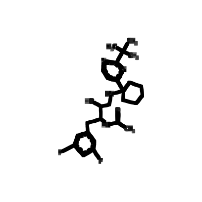 CC(=O)NC(Cc1cc(F)cc(F)c1)C(O)CNC1(c2ccnc(C(C)(C)C)n2)CCCCC1